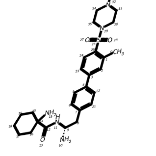 Cc1cc(-c2ccc(C[C@H](N)NC(=O)C3(N)CCCCC3)cc2)ccc1S(=O)(=O)N1CCN(C)CC1